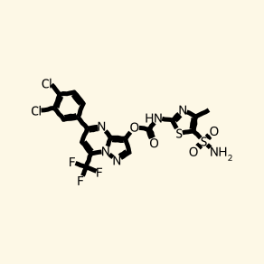 Cc1nc(NC(=O)Oc2cnn3c(C(F)(F)F)cc(-c4ccc(Cl)c(Cl)c4)nc23)sc1S(N)(=O)=O